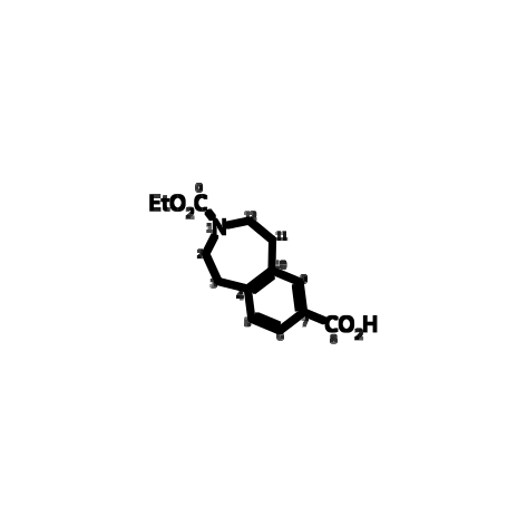 CCOC(=O)N1CCc2ccc(C(=O)O)cc2CC1